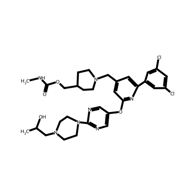 CNC(=O)OCC1CCN(Cc2cc(Oc3cnc(N4CCN(CC(C)O)CC4)nc3)nc(-c3cc(Cl)cc(Cl)c3)c2)CC1